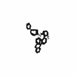 c1ccc(-c2ccc(N(c3ccccc3)c3cccc4sc5ccc6c(sc7ccc8ccccc8c76)c5c34)cc2)cc1